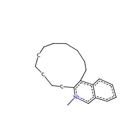 C[n+]1cc2ccccc2c2c1CCCCCCCCCCC2